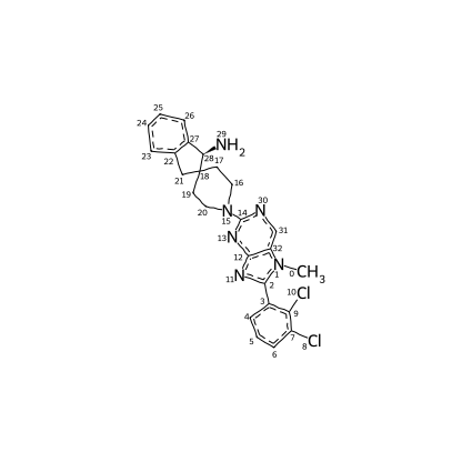 Cn1c(-c2cccc(Cl)c2Cl)nc2nc(N3CCC4(CC3)Cc3ccccc3[C@H]4N)ncc21